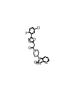 O=C(Cc1nnc(-c2cc(Cl)ccc2F)o1)N1CCC(n2c(=O)[nH]c3ncccc32)CC1